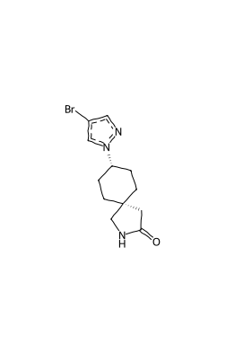 O=C1C[C@]2(CC[C@@H](n3cc(Br)cn3)CC2)CN1